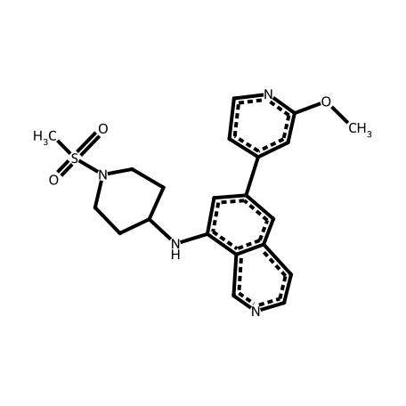 COc1cc(-c2cc(NC3CCN(S(C)(=O)=O)CC3)c3cnccc3c2)ccn1